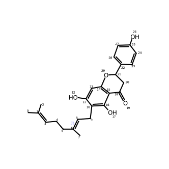 CC(C)=CCC/C(C)=C/Cc1c(O)cc2c(c1O)C(=O)CC(c1ccc(O)cc1)O2